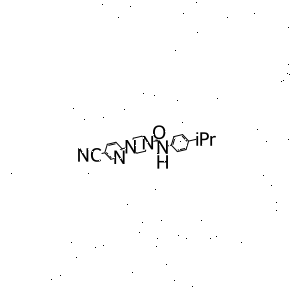 CC(C)c1ccc(NC(=O)N2CCN(c3ccc(C#N)cn3)CC2)cc1